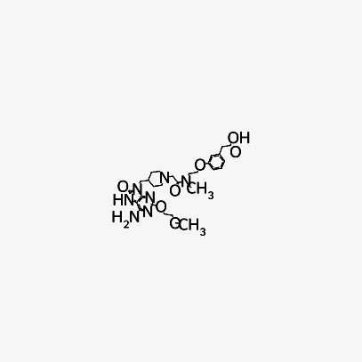 COCCOc1nc(N)c2[nH]c(=O)n(CC3CCN(CC(=O)N(C)CCOc4cccc(CC(=O)O)c4)CC3)c2n1